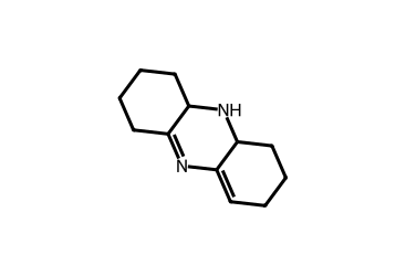 C1=C2N=C3CCCCC3NC2CCC1